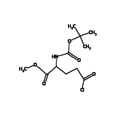 COC(=O)C(CCC(=O)Cl)NC(=O)OC(C)(C)C